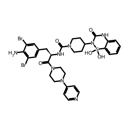 Nc1c(Br)cc(C[C@@H](NC(=O)N2CCC(N3C(=O)Nc4ccccc4S3(O)O)CC2)C(=O)N2CCN(c3ccncc3)CC2)cc1Br